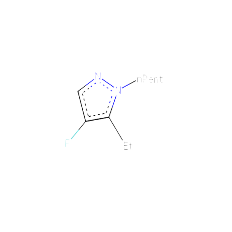 CCCCCn1n[c]c(F)c1CC